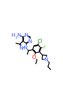 CCCN1CC(c2c(F)c(Cl)cc(C(C)n3nc(C)c4c(N)ncnc43)c2OCC)C1